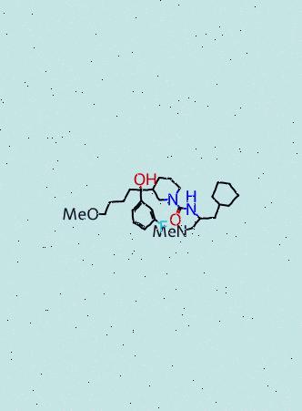 CNCC(CC1CCCCC1)NC(=O)N1CCCC(C(O)(CCCCOC)c2cccc(F)c2)C1